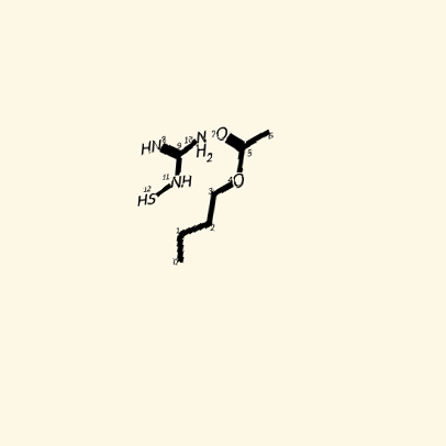 CCCCOC(C)=O.N=C(N)NS